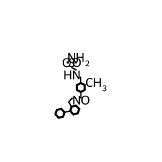 Cc1cc(C(=O)N2CCc3c(-c4ccccc4)cccc32)ccc1CNCCS(N)(=O)=O